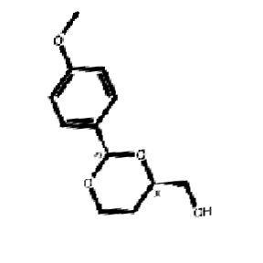 COc1ccc([C@@H]2OCC[C@H](CO)O2)cc1